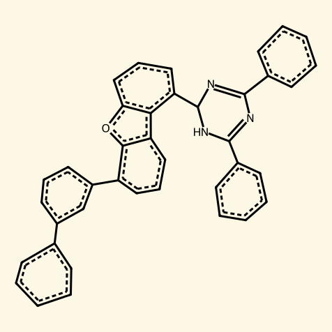 c1ccc(C2=NC(c3cccc4oc5c(-c6cccc(-c7ccccc7)c6)cccc5c34)NC(c3ccccc3)=N2)cc1